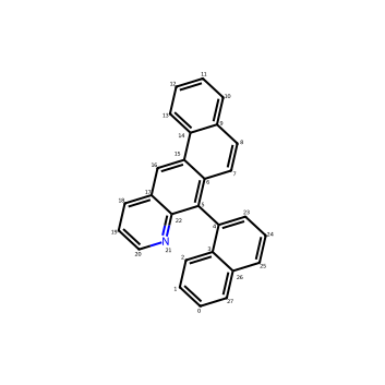 c1ccc2c(-c3c4ccc5ccccc5c4cc4cccnc34)cccc2c1